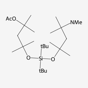 CNC(C)(C)CC(C)(C)O[Si](OC(C)(C)CC(C)(C)OC(C)=O)(C(C)(C)C)C(C)(C)C